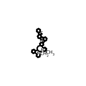 C=C1C2C(CCc3cc4c(cc3-c3ccc(C)c[n+]31)c1cccc3c5c6sc7ccccc7c6ccc5n4c13)c1ccccc1-c1cccc[n+]12